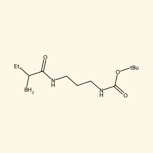 BC(CC)C(=O)NCCCNC(=O)OC(C)(C)C